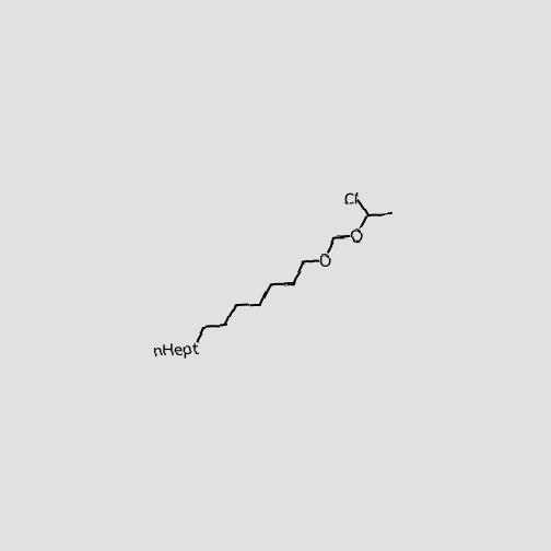 CCCCCCCCCCCCCCOCOC(C)Cl